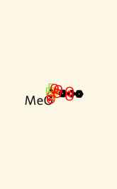 COOOSC(=C(F)F)S(=O)(=O)Oc1ccc(C2OCC(c3ccccc3)CO2)cc1